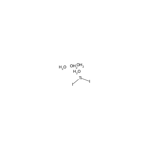 O.O.O.O.[I][Ti][I]